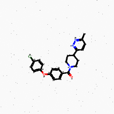 Cc1ccc(C2CCN(C(=O)c3ccc(Oc4ccc(Cl)cc4)cc3)CC2)nn1